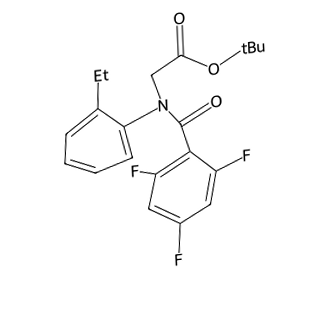 CCc1ccccc1N(CC(=O)OC(C)(C)C)C(=O)c1c(F)cc(F)cc1F